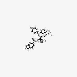 C[C@]1(C(N)=O)COc2c1cc(C(O)(CNC(=O)c1ccc3ccnn3c1)C(F)(F)F)nc2-c1ccc(F)cc1